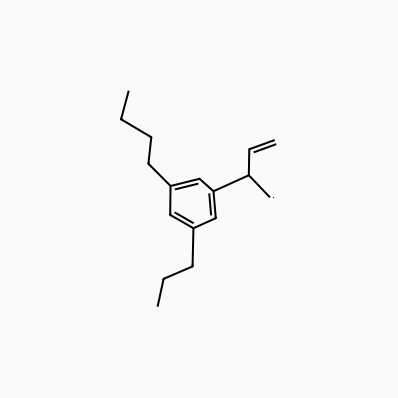 [CH2]C(C=C)c1cc(CCC)cc(CCCC)c1